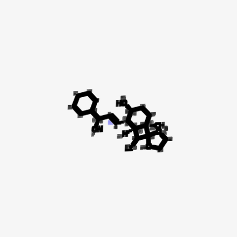 CCC1[C@H]2[C@H](/C=C/[C@@H](O)C3CCCCC3)[C@@H](O)CC[C@@]2(C)C12OCCO2